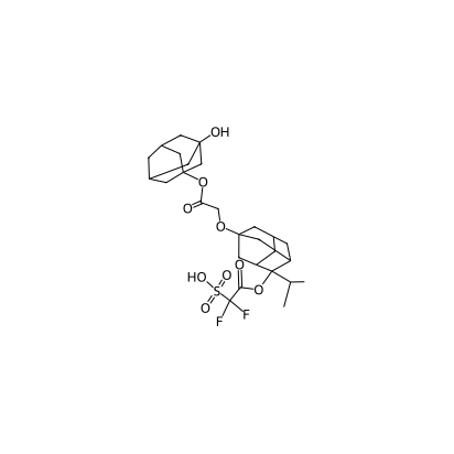 CC(C)C1(OC(=O)C(F)(F)S(=O)(=O)O)C2CC3CC1CC(OCC(=O)OC14CC5CC(CC(O)(C5)C1)C4)(C3)C2